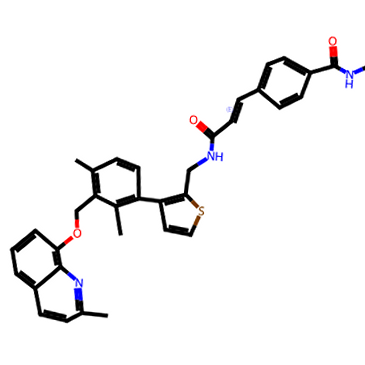 CNC(=O)c1ccc(/C=C/C(=O)NCc2sccc2-c2ccc(C)c(COc3cccc4ccc(C)nc34)c2C)cc1